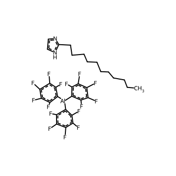 CCCCCCCCCCCc1ncc[nH]1.Fc1c(F)c(F)[c]([Al]([c]2c(F)c(F)c(F)c(F)c2F)[c]2c(F)c(F)c(F)c(F)c2F)c(F)c1F